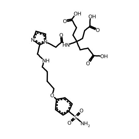 NS(=O)(=O)c1ccc(OCCCCNCc2nccn2CC(=O)NC(CCC(=O)O)(CCC(=O)O)CCC(=O)O)cc1